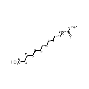 CCCCCCCCCCC(=O)NCCCCCCCCCCCC(=O)O